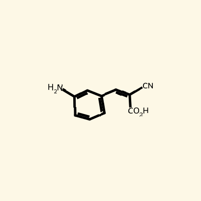 N#CC(=Cc1cccc(N)c1)C(=O)O